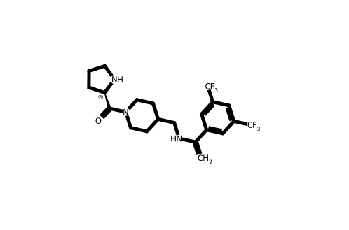 C=C(NCC1CCN(C(=O)[C@H]2CCCN2)CC1)c1cc(C(F)(F)F)cc(C(F)(F)F)c1